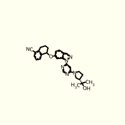 CC(C)(O)[C@@H]1CCN(c2cc(-n3ncc4ccc(OC5CCCc6c(C#N)cccc65)cc43)ncn2)C1